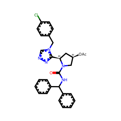 CC(=O)O[C@@H]1C[C@H](c2nncn2Cc2ccc(Cl)cc2)N(C(=O)NC(c2ccccc2)c2ccccc2)C1